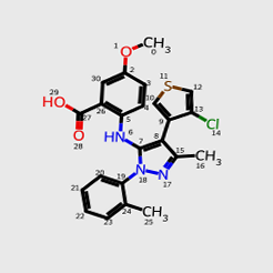 COc1ccc(Nc2c(-c3cscc3Cl)c(C)nn2-c2ccccc2C)c(C(=O)O)c1